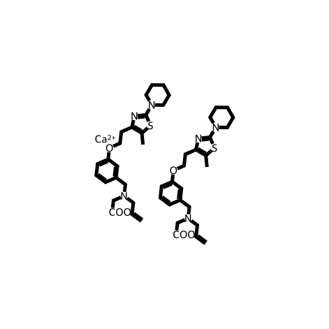 C=CCN(CC(=O)[O-])Cc1cccc(OCCc2nc(N3CCCCC3)sc2C)c1.C=CCN(CC(=O)[O-])Cc1cccc(OCCc2nc(N3CCCCC3)sc2C)c1.[Ca+2]